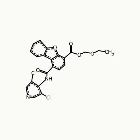 CCOCOC(=O)c1ccc(C(=O)Nc2c(Cl)cncc2Cl)c2c1oc1ccccc12